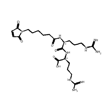 N=C(N)NCCC[C@H](NC(=O)[C@H](CCCNC(=N)N)NC(=O)CCCCCN1C(=O)C=CC1=O)C(=O)O